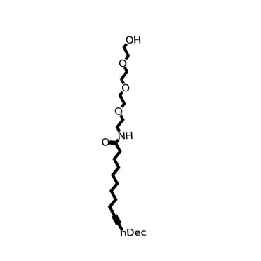 CCCCCCCCCCC#CCCCCCCCCC(=O)NCCOCCOCCOCCO